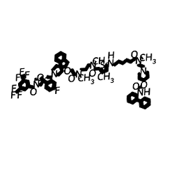 Cc1cc(NCCCCCC(=O)N(C)CCN2CCC(OC(=O)Nc3ccccc3-c3ccccc3)CC2)sc1C(=O)N(C)CCCN(C)C(=O)CO[C@H]1Cc2ccccc2C12CCN(CC[C@]1(c3ccc(F)cc3)CN(C(=O)c3cc(C(F)(F)F)cc(C(F)(F)F)c3)CO1)CC2